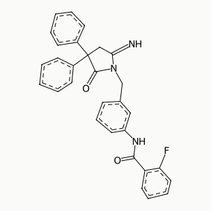 N=C1CC(c2ccccc2)(c2ccccc2)C(=O)N1Cc1cccc(NC(=O)c2ccccc2F)c1